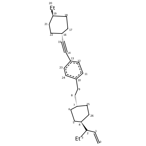 C=CC(CC)[C@H]1CC[C@H](CCc2ccc(C#C[C@H]3CC[C@H](CC)CC3)cc2)CC1